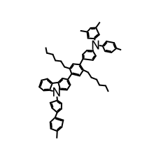 CCCCCCc1cc(-c2ccc3c(c2)c2ccccc2n3-c2ccc(-c3ccc(C)cc3)cc2)c(CCCCCC)cc1-c1ccc(N(c2ccc(C)cc2)c2cc(C)cc(C)c2)cc1